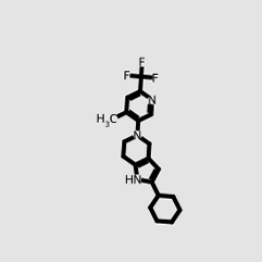 Cc1cc(C(F)(F)F)ncc1N1CCc2[nH]c(C3CCCCC3)cc2C1